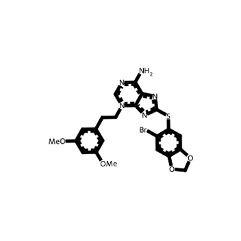 COc1cc(CCn2cnc(N)c3nc(Sc4cc5c(cc4Br)OCO5)nc2-3)cc(OC)c1